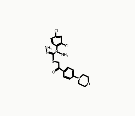 N/N=C(/SCC(=O)c1ccc(N2CCOCC2)cc1)N(N)c1ccc(Cl)cc1Cl